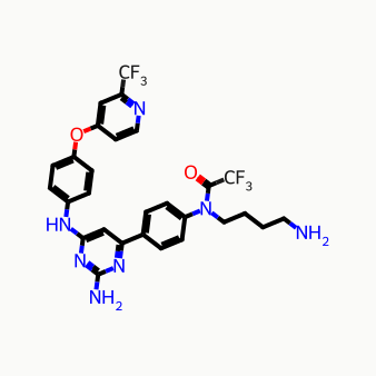 NCCCCN(C(=O)C(F)(F)F)c1ccc(-c2cc(Nc3ccc(Oc4ccnc(C(F)(F)F)c4)cc3)nc(N)n2)cc1